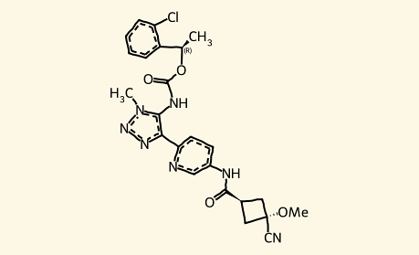 CO[C@]1(C#N)C[C@@H](C(=O)Nc2ccc(-c3nnn(C)c3NC(=O)O[C@H](C)c3ccccc3Cl)nc2)C1